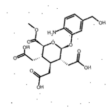 COC(=O)[C@H]1O[C@@H](Oc2cc(CO)ccc2N)[C@H](CC(=O)O)[C@@H](CC(=O)O)[C@@H]1CC(=O)O